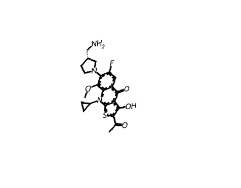 COc1c(N2CC[C@H](CN)C2)c(F)cc2c(=O)c3c(O)c(C(C)=O)sc3n(C3CC3)c12